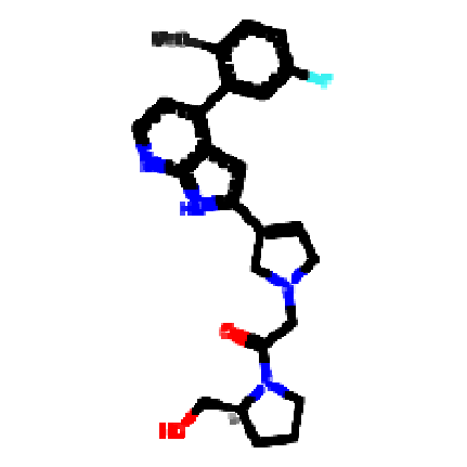 COc1ccc(F)cc1-c1ccnc2[nH]c(C3=CCN(CC(=O)N4CCC[C@H]4CO)C3)cc12